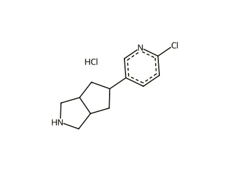 Cl.Clc1ccc(C2CC3CNCC3C2)cn1